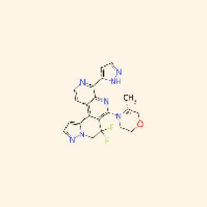 C[C@@H]1COCCN1c1nc2c(-c3ccn[nH]3)nccc2c2c1C(F)(F)Cn1nccc1-2